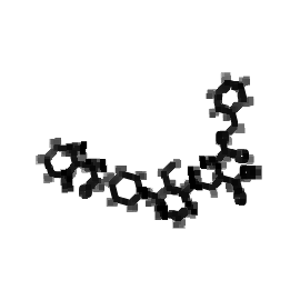 CCc1c(NCC(NC(=O)OCc2ccccc2)C(=O)O)ncnc1N1CCC(C(=O)NC2NCCCN2)CC1